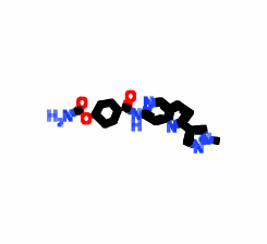 Cn1cc(-c2ccc3cnc(NC(=O)[C@H]4CC[C@H](OC(N)=O)CC4)cc3n2)cn1